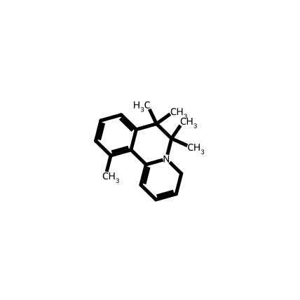 Cc1cccc2c1C1=CC=CCN1C(C)(C)C2(C)C